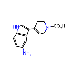 Nc1ccc2[nH]cc(C3=CCN(C(=O)O)CC3)c2c1